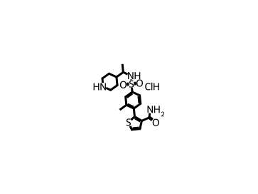 Cc1cc(S(=O)(=O)NC(C)C2CCNCC2)ccc1-c1sccc1C(N)=O.Cl